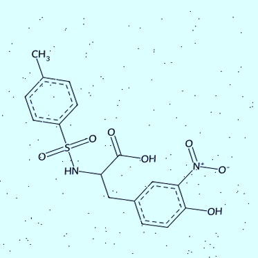 Cc1ccc(S(=O)(=O)NC(Cc2ccc(O)c([N+](=O)[O-])c2)C(=O)O)cc1